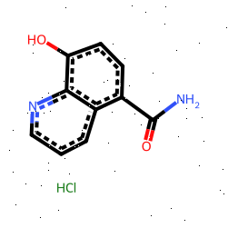 Cl.NC(=O)c1ccc(O)c2ncccc12